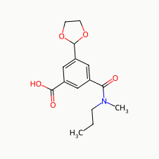 CCCN(C)C(=O)c1cc(C(=O)O)cc(C2OCCO2)c1